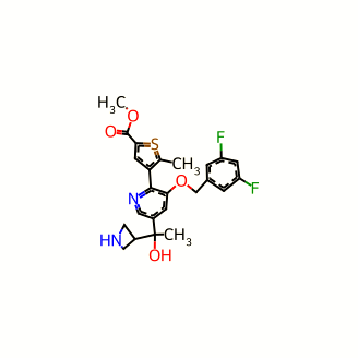 COC(=O)c1cc(-c2ncc(C(C)(O)C3CNC3)cc2OCc2cc(F)cc(F)c2)c(C)s1